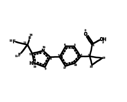 O=C(O)C1(c2ccc(-c3c[nH]c(C(F)(F)F)n3)cc2)CC1